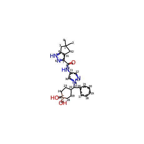 CC1(C)Cc2[nH]nc(C(=O)Nc3cnn(C(c4ccccc4)C4CCS(O)(O)CC4)c3)c2C1